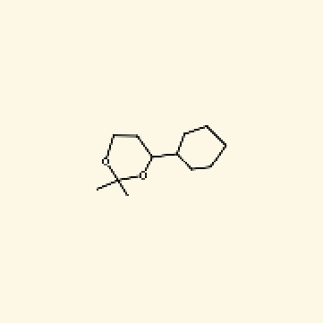 CC1(C)OC[CH]C(C2CCCCC2)O1